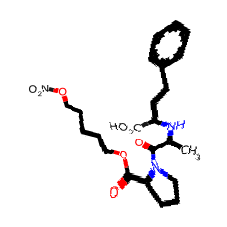 CC(NC(CCc1ccccc1)C(=O)O)C(=O)N1CCCC1C(=O)OCCCCCO[N+](=O)[O-]